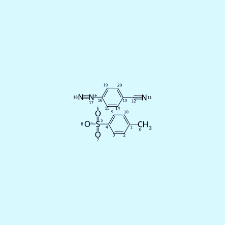 Cc1ccc(S(=O)(=O)[O-])cc1.N#Cc1ccc([N+]#N)cc1